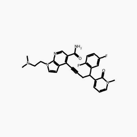 CN(C)CCn1ccc2c(C#CCC(c3cc(F)ccc3F)c3cccn(C)c3=O)c(C(N)=O)cnc21